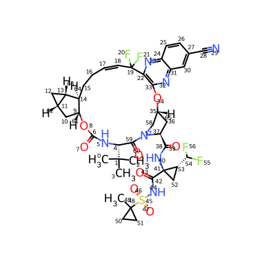 CC(C)(C)[C@@H]1NC(=O)O[C@@H]2C[C@@H]3C[C@@H]3[C@H]2CCC=CC(F)(F)c2nc3ccc(C#N)cc3nc2O[C@@H]2C[C@@H](C(=O)N[C@]3(C(=O)NS(=O)(=O)C4(C)CC4)C[C@H]3C(F)F)N(C2)C1=O